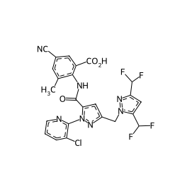 Cc1cc(C#N)cc(C(=O)O)c1NC(=O)c1cc(Cn2nc(C(F)F)cc2C(F)F)nn1-c1ncccc1Cl